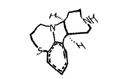 c1cc2c3c(c1)[C@@H]1CNCC[C@@H]1N3CCS2